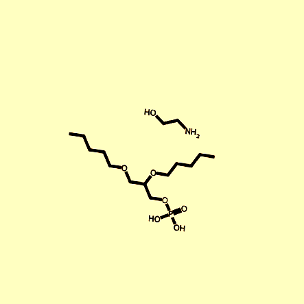 CCCCCOCC(COP(=O)(O)O)OCCCCC.NCCO